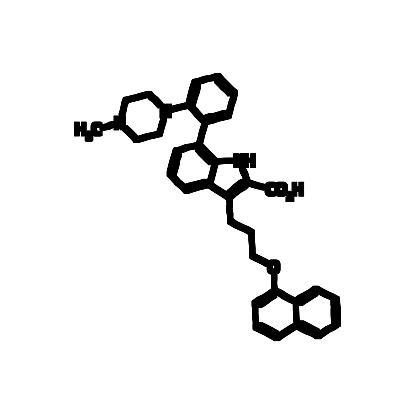 CN1CCN(c2ccccc2-c2cccc3c(CCCOc4cccc5ccccc45)c(C(=O)O)[nH]c23)CC1